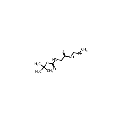 CPCNC(=O)CNC(=O)OC(C)(C)C